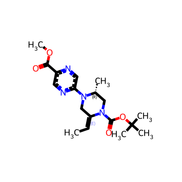 C/C=C1\CN(c2cnc(C(=O)OC)cn2)[C@H](C)CN1C(=O)OC(C)(C)C